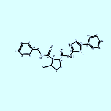 CC1CC[C@@H](C(=O)Nc2ncc(-c3ccccc3)s2)N1C(=O)OCc1ccccc1